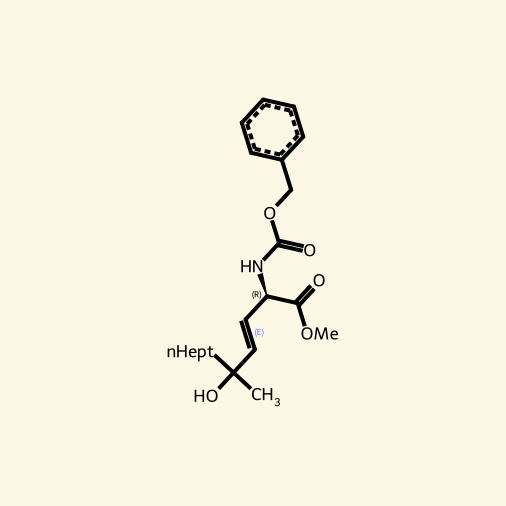 CCCCCCCC(C)(O)/C=C/[C@@H](NC(=O)OCc1ccccc1)C(=O)OC